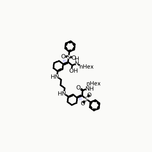 CCCCCCNC(=O)/C(=C1\C=C(NCCCNC2=C/C(=C(\C(O)NCCCCCC)S(=O)(=O)c3ccccc3)CCC2)CCC1)S(=O)(=O)c1ccccc1